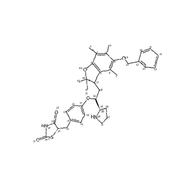 Cc1c(C)c2c(c(C)c1OCc1ccccc1)C(CC(Oc1ccc(CC3SC(=O)NC3=O)cc1)[C@H]1CCCN1)C(C)(C)O2